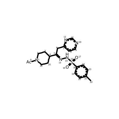 CC(=O)N1CCC(/C(Cc2ccncn2)=N/NS(=O)(=O)c2ccc(C)cc2)CC1